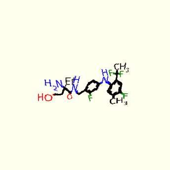 CC[C@@](N)(CCO)C(=O)NCc1ccc(Nc2cc(C)c(F)cc2C(C)(F)F)cc1F